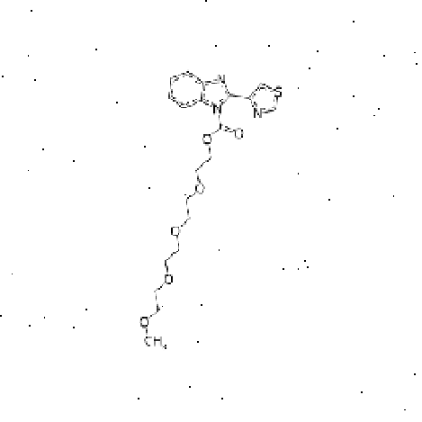 COCCOCCOCCOCCOC(=O)n1c(-c2cscn2)nc2ccccc21